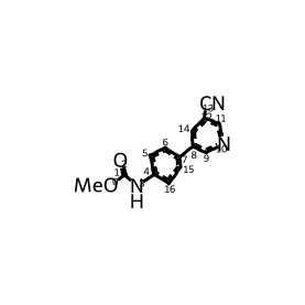 COC(=O)Nc1ccc(-c2cncc(C#N)c2)cc1